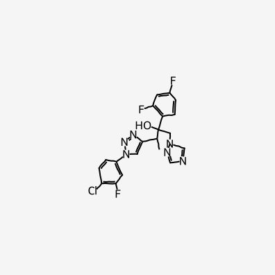 CC(c1cn(-c2ccc(Cl)c(F)c2)nn1)C(O)(Cn1cncn1)c1ccc(F)cc1F